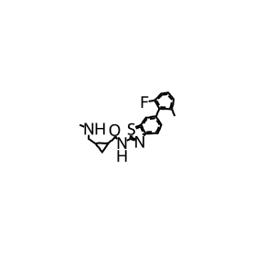 CNCC1CC1C(=O)Nc1nc2ccc(-c3c(C)cccc3F)cc2s1